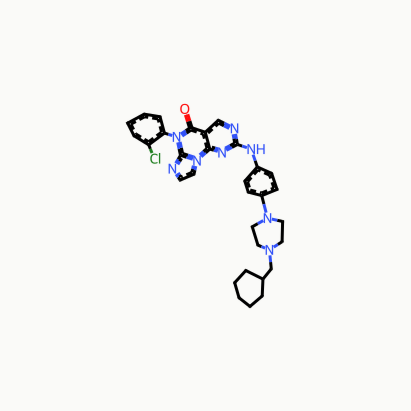 O=c1c2cnc(Nc3ccc(N4CCN(CC5CCCCC5)CC4)cc3)nc2n2ccnc2n1-c1ccccc1Cl